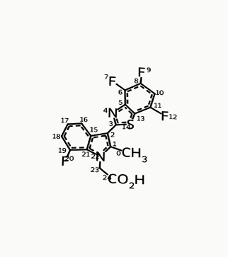 Cc1c(-c2nc3c(F)c(F)cc(F)c3s2)c2cccc(F)c2n1CC(=O)O